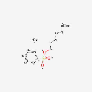 CCCCCCCCCCCCCCCOS(=O)(=O)c1ccccc1.[Cs]